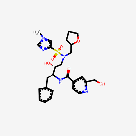 Cn1cnc(S(=O)(=O)N(CC2CCCO2)C[C@@H](O)[C@H](Cc2ccccc2)NC(=O)c2ccnc(CO)c2)c1